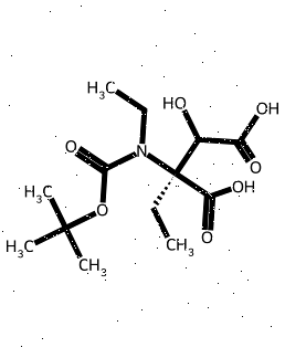 CCN(C(=O)OC(C)(C)C)[C@](CC)(C(=O)O)C(O)C(=O)O